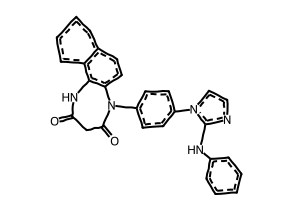 O=C1CC(=O)N(c2ccc(-n3ccnc3Nc3ccccc3)cc2)c2ccc3ccccc3c2N1